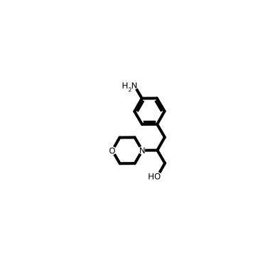 Nc1ccc(CC(CO)N2CCOCC2)cc1